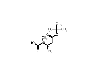 C[C@H](CC(=O)OC(C)(C)C)[C@H](C)C(=O)O